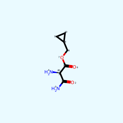 NC(=O)[C@@H](N)C(=O)OCC1CC1